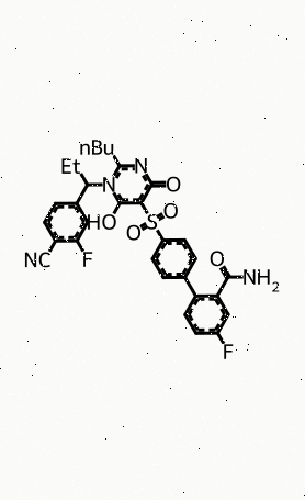 CCCCc1nc(=O)c(S(=O)(=O)c2ccc(-c3ccc(F)cc3C(N)=O)cc2)c(O)n1C(CC)c1ccc(C#N)c(F)c1